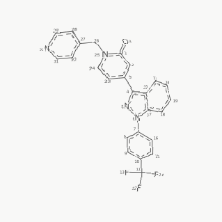 O=c1cc(-c2nn(-c3ccc(C(F)(F)F)cc3)c3ccccc23)ccn1Cc1ccncc1